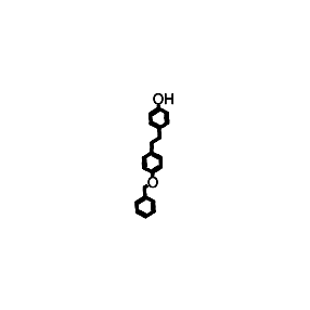 Oc1ccc(CCc2ccc(OCc3ccccc3)cc2)cc1